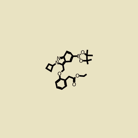 CCOC(=O)Cc1ccccc1OCc1c2cc(B3OC(C)(C)C(C)(C)O3)ccc2nn1C1CCC1